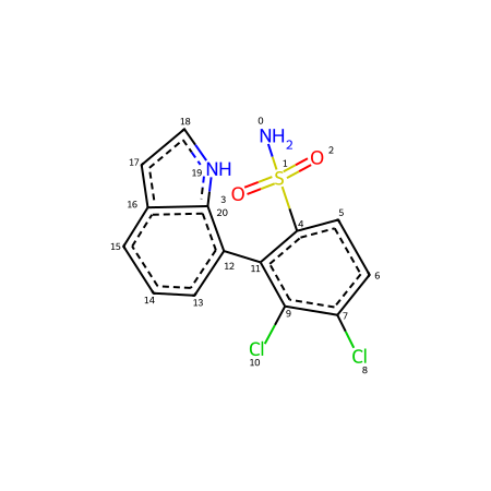 NS(=O)(=O)c1ccc(Cl)c(Cl)c1-c1cccc2cc[nH]c12